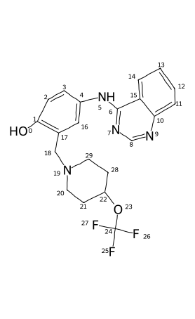 Oc1ccc(Nc2ncnc3ccccc23)cc1CN1CCC(OC(F)(F)F)CC1